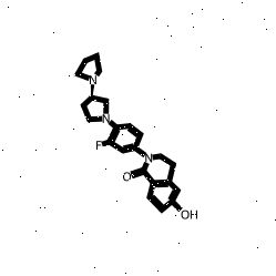 O=C1c2ccc(O)cc2CCN1c1ccc(N2CC[C@@H](N3CCCC3)C2)c(F)c1